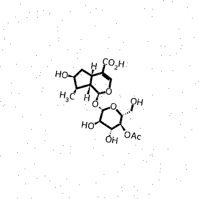 CC(=O)O[C@H]1[C@H](O)[C@@H](O)[C@H](O[C@@H]2OC=C(C(=O)O)[C@H]3C[C@H](O)[C@H](C)[C@@H]23)O[C@@H]1CO